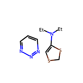 CCN(CC)C1=CSCS1.c1cnnnc1